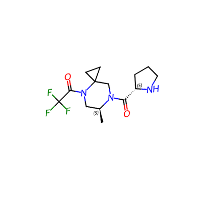 C[C@H]1CN(C(=O)C(F)(F)F)C2(CC2)CN1C(=O)[C@@H]1CCCN1